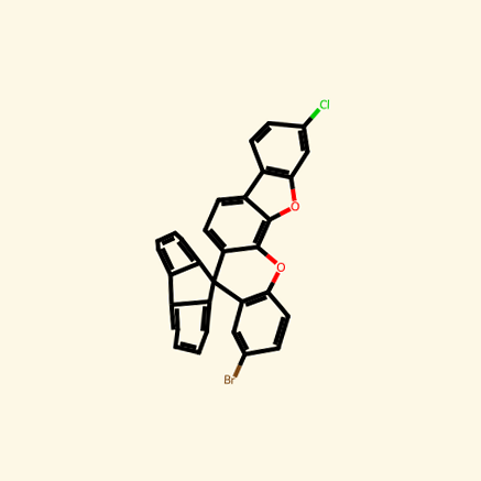 Clc1ccc2c(c1)oc1c3c(ccc12)C1(c2cc(Br)ccc2O3)c2ccccc2-c2ccccc21